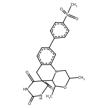 CC1CN2c3cc(-c4ccc(S(C)(=O)=O)cc4)ccc3CC3(C(=O)NC(=O)NC3=O)C2C(C)O1